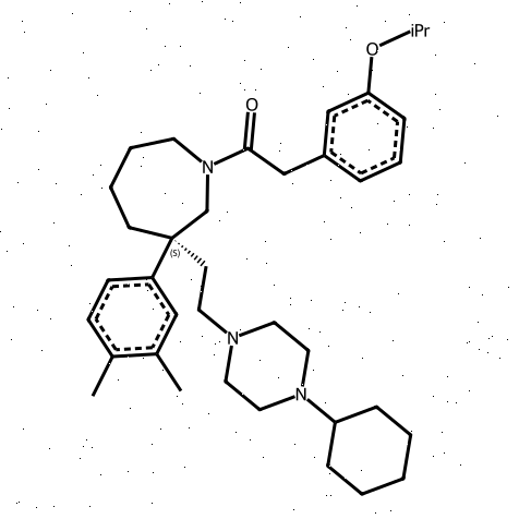 Cc1ccc([C@@]2(CCN3CCN(C4CCCCC4)CC3)CCCCN(C(=O)Cc3cccc(OC(C)C)c3)C2)cc1C